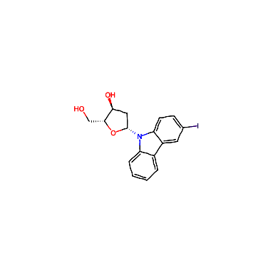 OC[C@H]1O[C@@H](n2c3ccccc3c3cc(I)ccc32)C[C@@H]1O